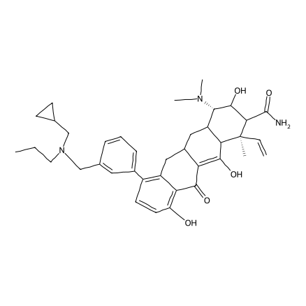 C=C[C@]1(C)C(C(N)=O)C(O)[C@@H](N(C)C)C2CC3Cc4c(-c5cccc(CN(CCC)CC6CC6)c5)ccc(O)c4C(=O)C3=C(O)C21